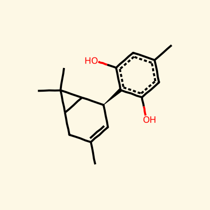 CC1=C[C@H](c2c(O)cc(C)cc2O)C2C(C1)C2(C)C